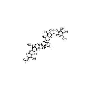 CC(=O)O[C@H]1CO[C@@H](O[C@H]2CC[C@@]3(C)[C@@H](CC[C@]4(C)[C@@H]3CC=C3[C@@H]5CC(C)(C)CC[C@]5(C(=O)O[C@@H]5O[C@H](CO[C@@H]6O[C@H](CO)[C@@H](O)[C@H](O)[C@H]6O)[C@@H](O)[C@H](O)[C@H]5O)CC[C@]34C)[C@]2(C)CO)[C@H](O)[C@H]1O